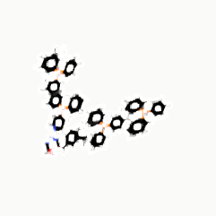 C=Cc1cc(C[C@@H]2CNCCO2)ccc1OC.[Pd].c1ccc(P(c2ccccc2)c2ccccc2)cc1.c1ccc(P(c2ccccc2)c2ccccc2)cc1.c1ccc(P(c2ccccc2)c2ccccc2)cc1.c1ccc(P(c2ccccc2)c2ccccc2)cc1